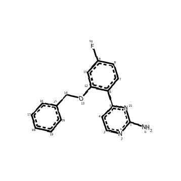 Nc1nccc(-c2ccc(F)cc2OCc2ccccc2)n1